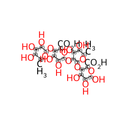 C[C@@H]1O[C@@H](O[C@@H]2[C@H](O)[C@@H](O)[C@@H](O[C@H]3[C@H](O[C@@H]4[C@H](O)[C@@H](O)[C@@H](O)O[C@@H]4C(=O)O)O[C@@H](C)[C@H](O)[C@H]3O)O[C@@H]2C(=O)O)[C@H](O)[C@H](O)[C@H]1O